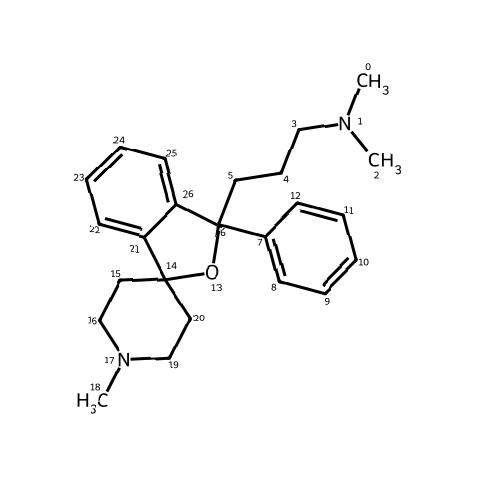 CN(C)CCCC1(c2ccccc2)OC2(CCN(C)CC2)c2ccccc21